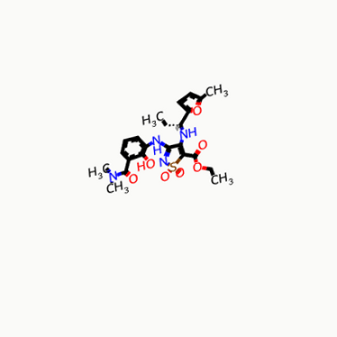 CCOC(=O)C1=C(N[C@H](CC)c2ccc(C)o2)C(Nc2cccc(C(=O)N(C)C)c2O)=NS1(=O)=O